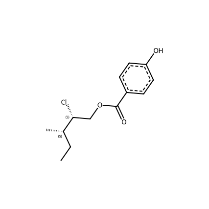 CC[C@H](C)[C@H](Cl)COC(=O)c1ccc(O)cc1